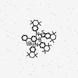 CC(C)(C)c1ccccc1-c1cc2c3c(c1)N(c1ccc4c(c1)C(C)(C)CCC4(C)C)c1sc4cc5c(cc4c1B3c1cc3c(cc1N2c1ccc2c(c1)C(C)(C)CCC2(C)C)C(C)(C)CCC3(C)C)C(C)(C)CCC5(C)C